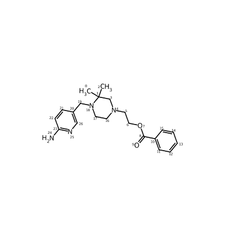 CC1(C)CN(CCOC(=O)c2ccccc2)CCN1Cc1ccc(N)nc1